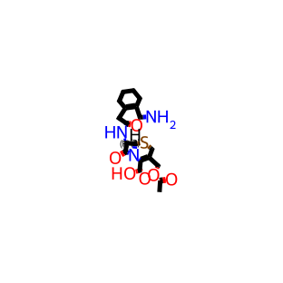 CC(=O)OCC1=C(C(=O)O)N2C(=O)[C@@H](NC(=O)CC3=C(CN)CCCC3)[C@H]2SC1